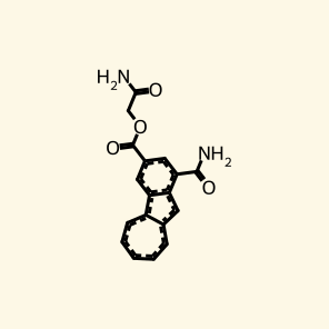 NC(=O)COC(=O)c1cc(C(N)=O)c2cc3cccccc-3c2c1